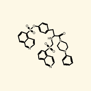 O=C(C(Cc1ccc(OS(=O)(=O)c2cccc3cnccc23)cc1)NCS(=O)(=O)c1cccc2cnccc12)N1CCN(c2ccccc2)CC1